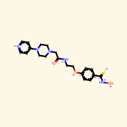 O=C(CN1CCN(c2ccncc2)CC1)NCCOc1ccc(C(=S)NO)cc1